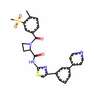 Cc1ccc(C(=O)N2CCC2C(=O)Nc2nc(-c3cccc(-c4ccncc4)c3)cs2)cc1S(C)(=O)=O